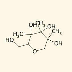 CC1(O)COC(CO)C(C)(O)C1(C)O